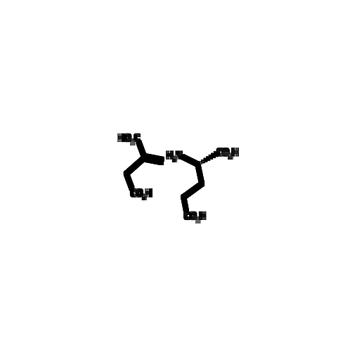 C=C(CC(=O)O)C(=O)O.N[C@@H](CCC(=O)O)C(=O)O